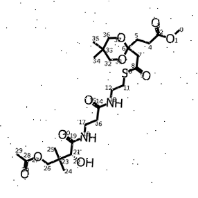 COC(=O)CCC1(CC(=O)SCCNC(=O)CCNC(=O)[C@H](O)C(C)(C)COC(C)=O)OCC(C)(C)CO1